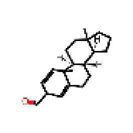 C[C@@]12CCC[C@H]1[C@@H]1CCC3=CC(C=O)C=C[C@]3(C)[C@H]1CC2